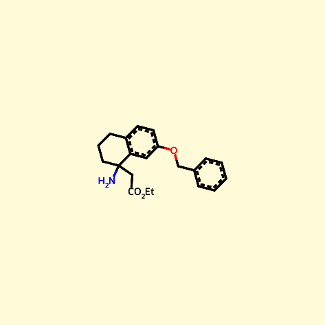 CCOC(=O)CC1(N)CCCc2ccc(OCc3ccccc3)cc21